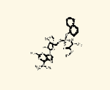 Cc1nc(N(C)C)c2ncn([C@@H]3O[C@](CCl)(CO[P@@](=S)(N[C@H](C)C(=O)OC(C)C)Oc4cccc5ccccc45)[C@@H](O)[C@@H]3F)c2n1